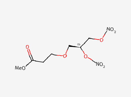 COC(=O)CCOC[C@@H](CO[N+](=O)[O-])O[N+](=O)[O-]